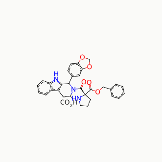 O=C(O)C1Cc2c([nH]c3ccccc23)C(c2ccc3c(c2)OCO3)N1C(=O)[C@@]1(C(=O)OCc2ccccc2)CCCN1